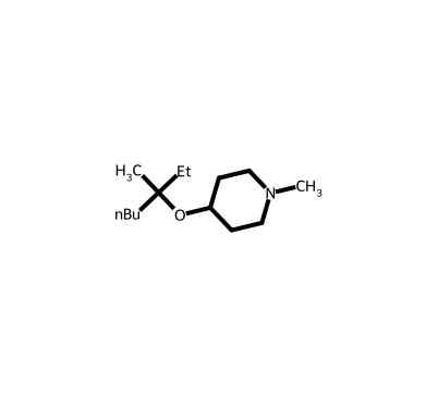 CCCCC(C)(CC)OC1CCN(C)CC1